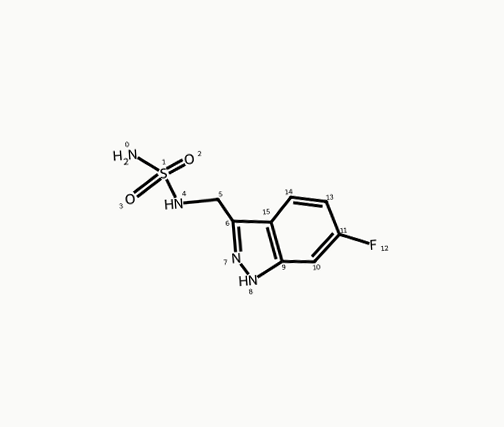 NS(=O)(=O)NCc1n[nH]c2cc(F)ccc12